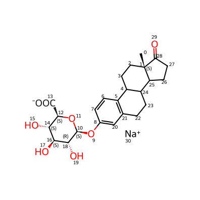 C[C@]12CCC3c4ccc(O[C@@H]5O[C@H](C(=O)[O-])[C@@H](O)[C@H](O)[C@H]5O)cc4CCC3C1CCC2=O.[Na+]